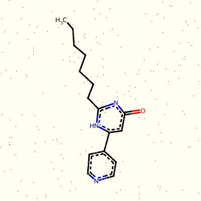 CCCCCCCc1nc(=O)cc(-c2ccncc2)[nH]1